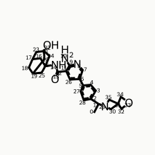 CC(c1ccc(-c2cnc(N)c(C(=O)NC34CC5CC(CC(O)(C5)C3)C4)c2)cc1)N1CC2(COC2)C1